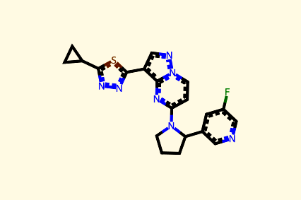 Fc1cncc(C2CCCN2c2ccn3ncc(-c4nnc(C5CC5)s4)c3n2)c1